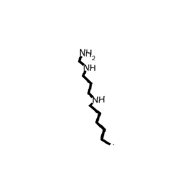 [CH2]CCCCCNCCCNCN